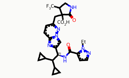 CCn1nccc1C(=O)N[C@H](c1cn2nc(CC3(C(=O)O)C(=O)NCC3C(F)(F)F)ccc2n1)C(C1CC1)C1CC1